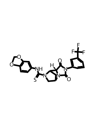 O=C1[C@H]2C3CC(CN3C(=S)Nc3ccc4c(c3)OCO4)N2C(=O)N1c1cccc(C(F)(F)F)c1